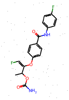 CC(OC(N)=O)C(=CF)Oc1ccc(C(=O)Nc2ccc(F)cc2)cc1